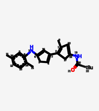 CC1=C(C2=CCC(Nc3cc(C)ccc3C)=C2)CC(NC(=O)C(C)(C)C)=C1